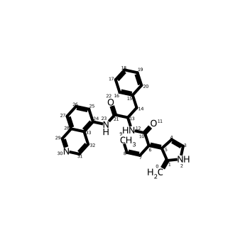 C=c1[nH]cc/c1=C(/C=C\C)C(=O)NC(Cc1ccccc1)C(=O)Nc1cccc2cnccc12